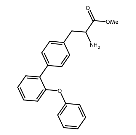 COC(=O)C(N)Cc1ccc(-c2ccccc2Oc2ccccc2)cc1